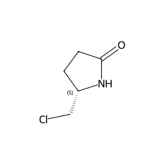 O=C1CC[C@@H](CCl)N1